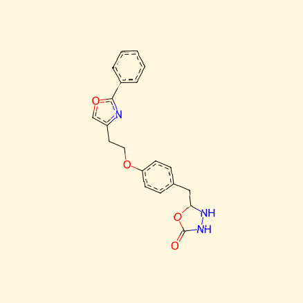 O=C1NNC(Cc2ccc(OCCc3coc(-c4ccccc4)n3)cc2)O1